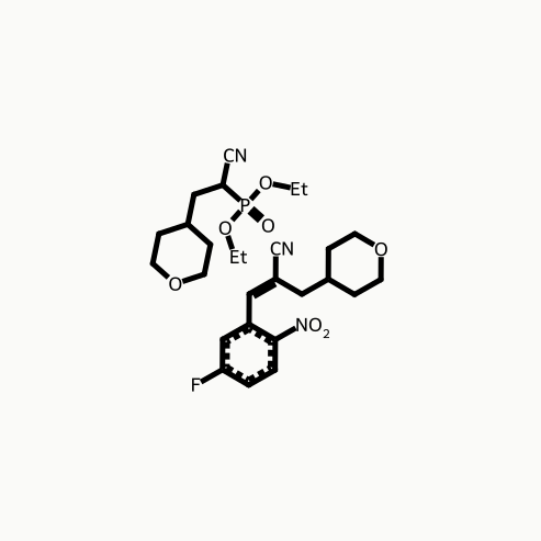 CCOP(=O)(OCC)C(C#N)CC1CCOCC1.N#CC(=Cc1cc(F)ccc1[N+](=O)[O-])CC1CCOCC1